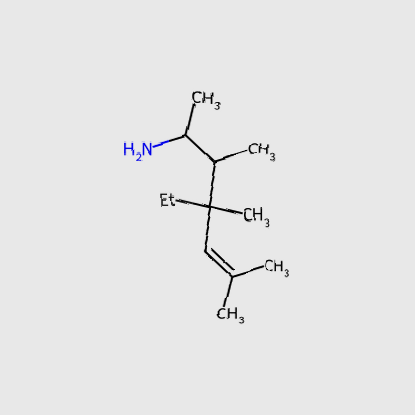 CCC(C)(C=C(C)C)C(C)C(C)N